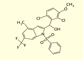 COc1ccc(Cl)c(C(O)c2cc3c(C)cc(C(F)(F)F)cc3n2S(=O)(=O)c2ccccc2)c1Cl